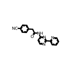 N#Cc1ccc(CC(=O)Nc2ccnc(-c3ccccn3)n2)cc1